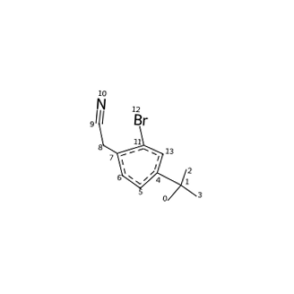 CC(C)(C)c1ccc(CC#N)c(Br)c1